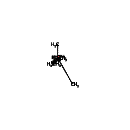 CC#CC#CC#CC#CC#CC#CC#CC#CC#CC#CC#CC#CC(=O)N[C@@H](COC[C@H]1COC(C)(C)O1)[C@H](OC(C)(C)C)[C@H](O)CCCCCCCCCCCCCC